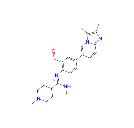 CN/C(=N\c1ccc(-c2ccc3nc(C)c(C)n3c2)cc1C=O)C1CCN(C)CC1